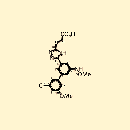 CONc1cc(-c2cc(Cl)cc(OC)c2)cc(-c2nnc(SCC(=O)O)[nH]2)c1